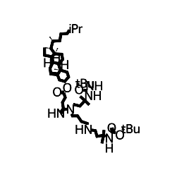 CC(C)CCC[C@@H](C)[C@H]1CC[C@H]2[C@@H]3CC=C4C[C@@H](OC(=O)CCC(=N)N(CCCCNCCC(C)(C)NC(=O)OC(C)(C)C)CCC(C)(C)NC(=N)OC(C)(C)C)CC[C@]4(C)[C@H]3CC[C@]12C